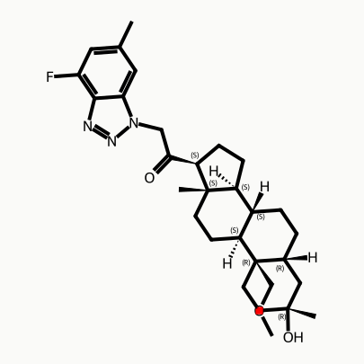 COC[C@]12CC[C@@](C)(O)C[C@H]1CC[C@H]1[C@@H]3CC[C@H](C(=O)Cn4nnc5c(F)cc(C)cc54)[C@@]3(C)CC[C@@H]12